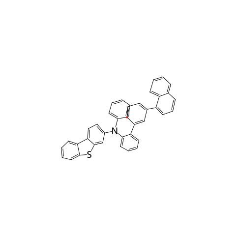 c1ccc(N(c2ccc3c(c2)sc2ccccc23)c2ccccc2-c2cccc(-c3cccc4ccccc34)c2)cc1